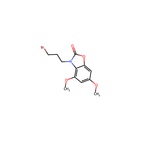 COc1cc(OC)c2c(c1)oc(=O)n2CCCBr